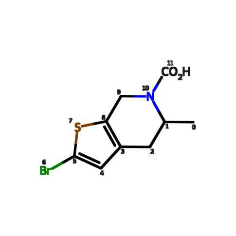 CC1Cc2cc(Br)sc2CN1C(=O)O